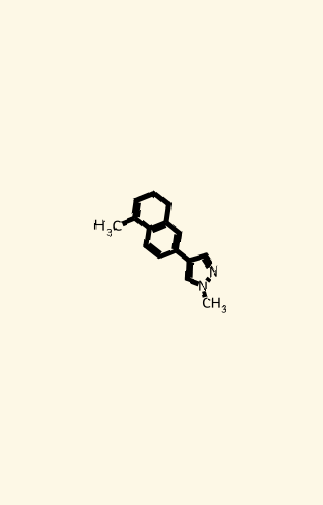 CC1=CCCc2cc(-c3cnn(C)c3)ccc21